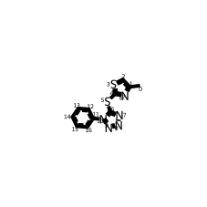 Cc1csc(Sc2nnnn2-c2ccccc2)n1